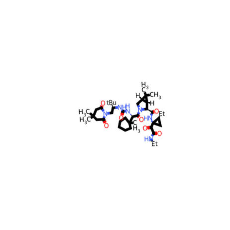 CCNC(=O)C(=O)[C@@]1(NC(=O)[C@@H]2[C@@H]3[C@H](CN2C(=O)[C@@H](NC(=O)N[C@H](CN2C(=O)CC(C)(C)CC2=O)C(C)(C)C)C2(C)CCCCC2)C3(C)C)C[C@@H]1CC